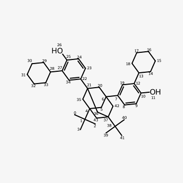 CC(C)(C)C12CC3(c4ccc(O)c(C5CCCCC5)c4)CC(c4ccc(O)c(C5CCCCC5)c4)(C1)CC(C(C)(C)C)(C3)C2